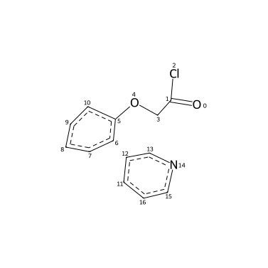 O=C(Cl)COc1ccccc1.c1ccncc1